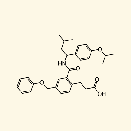 CC(C)CC(NC(=O)c1cc(COc2ccccc2)ccc1CCC(=O)O)c1ccc(OC(C)C)cc1